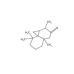 CC1C(=O)CC2(C)CCCC(C)(C)C23CC13